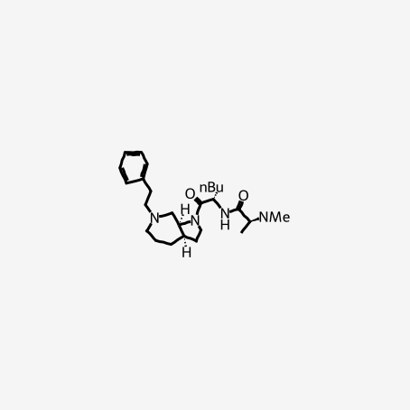 CCCC[C@H](NC(=O)[C@H](C)NC)C(=O)N1CC[C@H]2CCCN(CCc3ccccc3)C[C@H]21